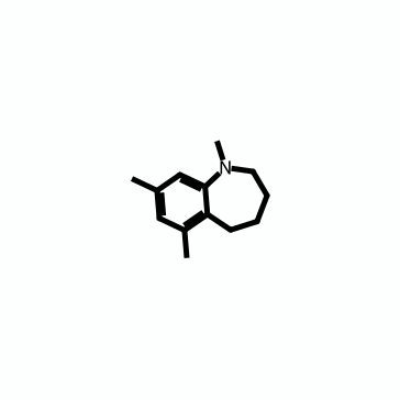 Cc1cc(C)c2c(c1)N(C)CCCC2